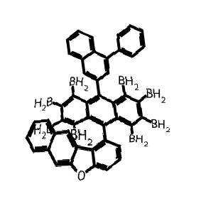 Bc1c(B)c(B)c2c(-c3cccc4oc5cc6ccccc6cc5c34)c3c(B)c(B)c(B)c(B)c3c(-c3cc(-c4ccccc4)c4ccccc4c3)c2c1B